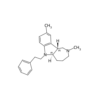 Cc1ccc2c(c1)[C@@H]1CN(C)CCC[C@H]1N2CCc1ccccc1